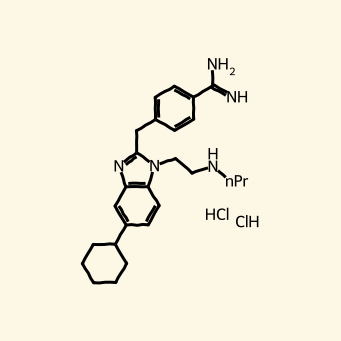 CCCNCCn1c(Cc2ccc(C(=N)N)cc2)nc2cc(C3CCCCC3)ccc21.Cl.Cl